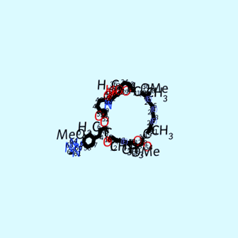 COC1CC(C[C@@H](C)[C@@H]2CC(=O)[C@H](C)/C=C(\C)[C@H]3OC(C[C@H](C)/C=C/C=C/C=C(\C)[C@@H](OC)C[C@@H]4CCC(C)C(O)(O4)C(=O)C(=O)N4CCCCC4C(=O)O2)C(=O)C3OC)CCC1n1ncnn1